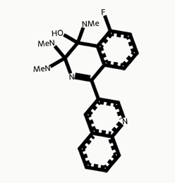 CNC1(NC)N=C(c2cnc3ccccc3c2)c2cccc(F)c2C1(O)NC